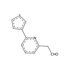 O=CCc1cccc(-c2ccsc2)n1